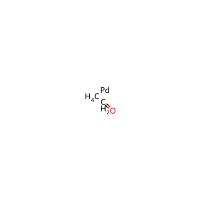 C.C=O.[Pd]